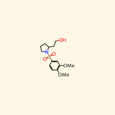 COc1ccc(S(=O)(=O)N2CCCC2CCO)cc1OC